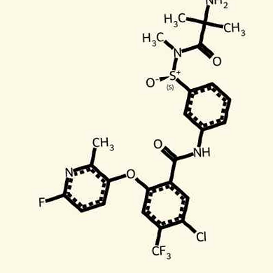 Cc1nc(F)ccc1Oc1cc(C(F)(F)F)c(Cl)cc1C(=O)Nc1cccc([S@@+]([O-])N(C)C(=O)C(C)(C)N)c1